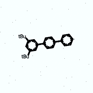 CC(C)(C)c1cc(-c2ccc(-c3cc[c]cc3)cc2)cc(C(C)(C)C)c1